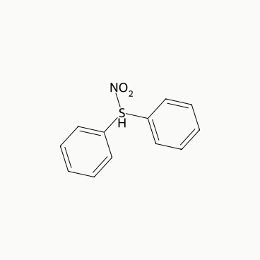 O=[N+]([O-])[SH](c1ccccc1)c1ccccc1